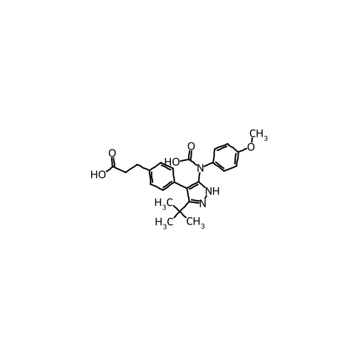 COc1ccc(N(C(=O)O)c2[nH]nc(C(C)(C)C)c2-c2ccc(CCC(=O)O)cc2)cc1